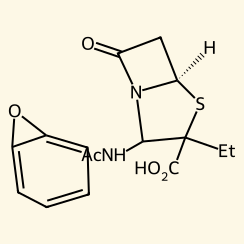 CCC1(C(=O)O)S[C@@H]2CC(=O)N2C1NC(C)=O.c1ccc2c(c1)O2